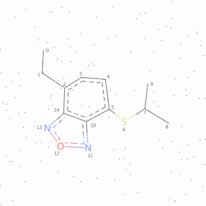 CCc1ccc(SC(C)C)c2nonc12